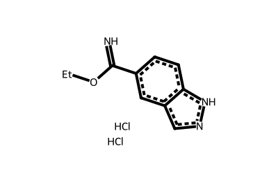 CCOC(=N)c1ccc2[nH]ncc2c1.Cl.Cl